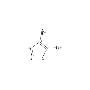 [Li][C]1=C(C(C)C)C=CC1